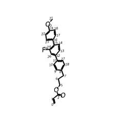 C=CC(=O)OCCCc1ccc(-c2ccc(-c3ccc(OC)cc3)c(F)c2)cc1